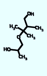 CC(O)COC(C)(C)C(C)CO